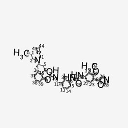 CCCN(CCC(OC(=O)NCc1cccc(NC(=O)Nc2ccc(-c3cnco3)c(OC)c2)c1)c1ccccc1)CC1CC1